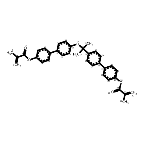 C=C(C)C(=O)Oc1ccc(-c2ccc(OC(C)(C)c3ccc(-c4ccc(OC(=O)C(=C)C)cc4)cc3)cc2)cc1